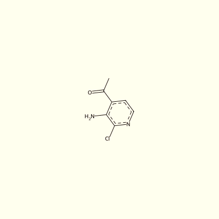 CC(=O)c1ccnc(Cl)c1N